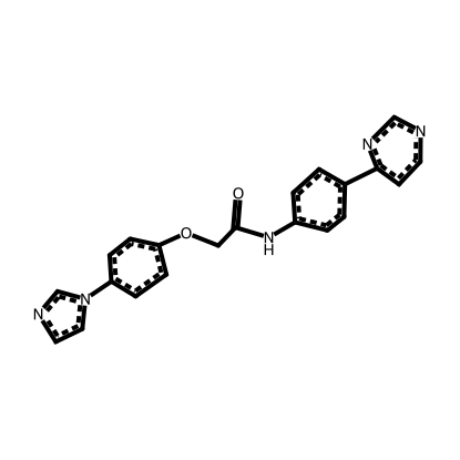 O=C(COc1ccc(-n2ccnc2)cc1)Nc1ccc(-c2ccncn2)cc1